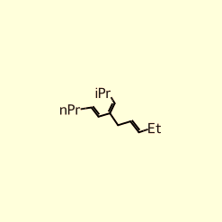 CCC=CCC(C=CCCC)=CC(C)C